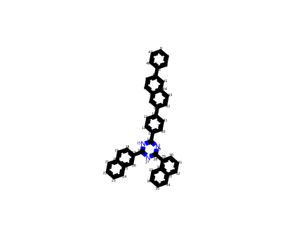 c1ccc(-c2ccc3cc(-c4ccc(-c5nc(-c6ccc7ccccc7c6)nc(-c6cccc7ccccc67)n5)cc4)ccc3c2)cc1